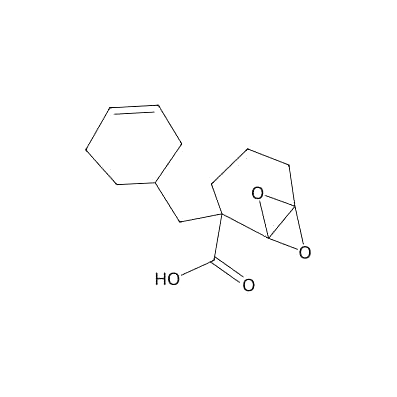 O=C(O)C1(CC2CC=CCC2)CCCC23OC21O3